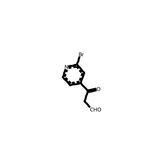 O=CCC(=O)c1ccnc(Br)c1